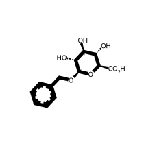 O=C(O)[C@H]1O[C@@H](OCc2ccccc2)[C@H](O)[C@@H](O)[C@@H]1O